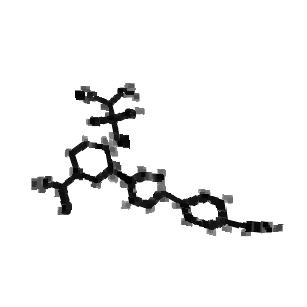 CC(=O)N1CC[C@H](NS(=O)(=O)C(C)C)[C@@H](c2ccc(-c3ccc(C#N)cc3)cc2)C1